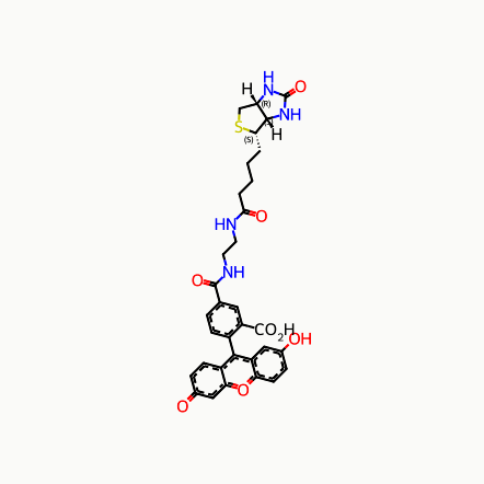 O=C(CCCC[C@@H]1SC[C@@H]2NC(=O)N[C@@H]21)NCCNC(=O)c1ccc(-c2c3ccc(=O)cc-3oc3ccc(O)cc23)c(C(=O)O)c1